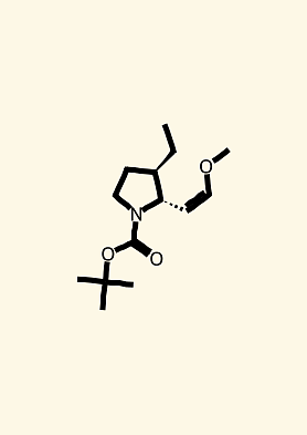 CC[C@@H]1CCN(C(=O)OC(C)(C)C)[C@H]1/C=C\OC